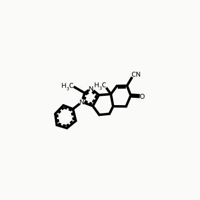 Cc1nc2c(n1-c1ccccc1)CCC1CC(=O)C(C#N)=CC21C